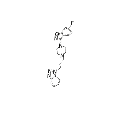 Fc1ccc2c(N3CCN(CCCn4nnc5ccccc54)CC3)noc2c1